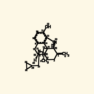 C=C1CC[C@@]2(C)[C@@H]3Cc4ccc(O)c5c4C2(CCN3CC2CC2)[C@H]1O5